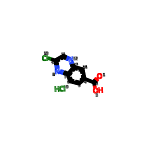 Cl.O=C(O)c1ccc2nc(Cl)cnc2c1